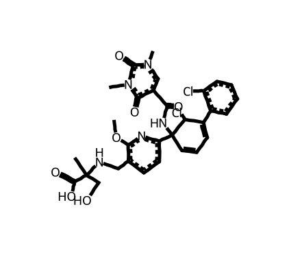 COc1nc(C2(NC(=O)c3cn(C)c(=O)n(C)c3=O)C=CC=C(c3ccccc3Cl)C2Cl)ccc1CNC(C)(CO)C(=O)O